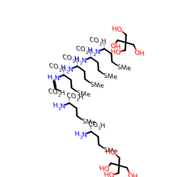 C=CC(=O)O.CSCC[C@H](N)C(=O)O.CSCC[C@H](N)C(=O)O.CSCC[C@H](N)C(=O)O.CSCC[C@H](N)C(=O)O.CSCC[C@H](N)C(=O)O.CSCC[C@H](N)C(=O)O.OCC(CO)(CO)CO.OCC(CO)(CO)CO